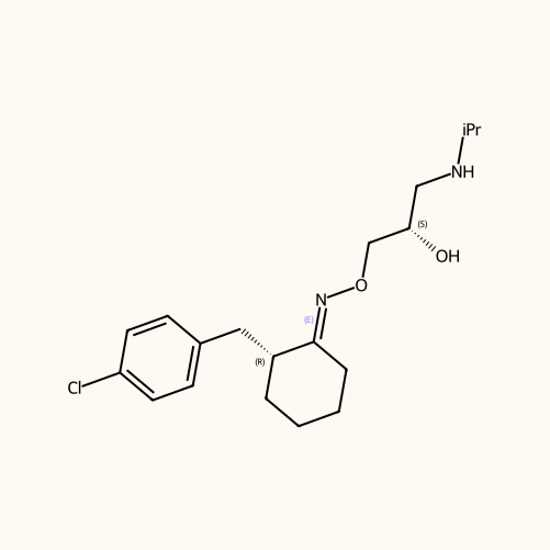 CC(C)NC[C@H](O)CO/N=C1\CCCC[C@@H]1Cc1ccc(Cl)cc1